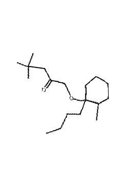 CCCCC1(OCC(=O)CC(C)(C)C)CCCCC1C